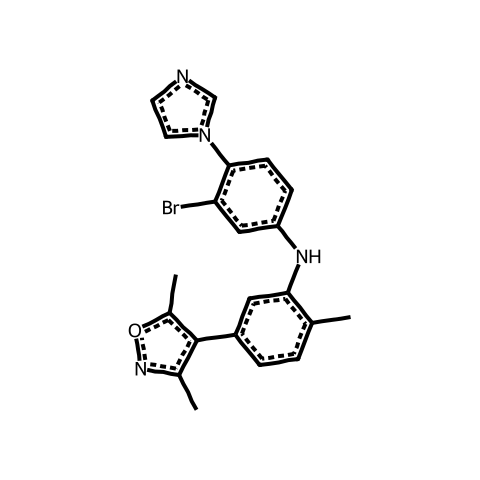 Cc1ccc(-c2c(C)noc2C)cc1Nc1ccc(-n2ccnc2)c(Br)c1